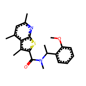 COc1ccccc1C(C)N(C)C(=O)c1sc2nc(C)cc(C)c2c1C